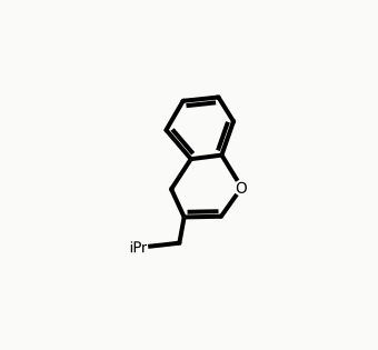 CC(C)CC1=COc2ccccc2C1